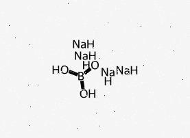 OB(O)O.[NaH].[NaH].[NaH].[NaH]